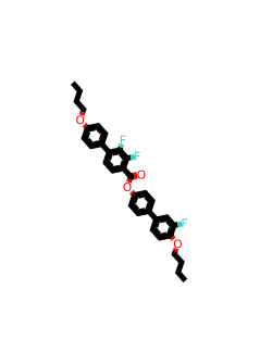 CCCCOc1ccc(-c2ccc(C(=O)Oc3ccc(-c4ccc(OCCCC)c(F)c4)cc3)c(F)c2F)cc1